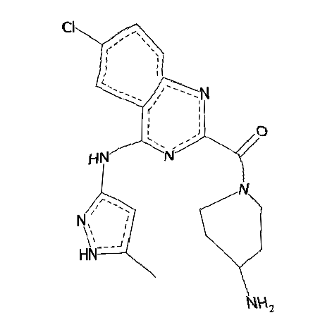 Cc1cc(Nc2nc(C(=O)N3CCC(N)CC3)nc3ccc(Cl)cc23)n[nH]1